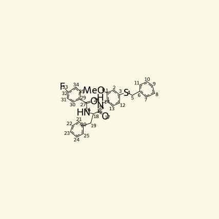 COc1cc(SCc2ccccc2)ccc1NC(=O)C(Cc1ccccc1)NC(=O)c1ccc(F)cc1